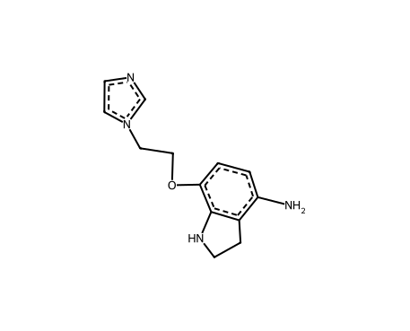 Nc1ccc(OCCn2ccnc2)c2c1CCN2